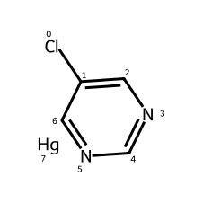 Clc1cncnc1.[Hg]